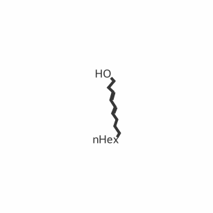 CCCCCCCCC/C=C/C=C/CCO